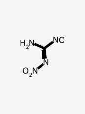 NC(N=O)=N[N+](=O)[O-]